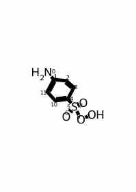 Nc1ccc(S(=O)(=O)OO)cc1